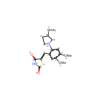 COc1cc(/C=C2\SC(=O)NC2=O)c(N2CCC(NC(C)=O)C2)cc1OC